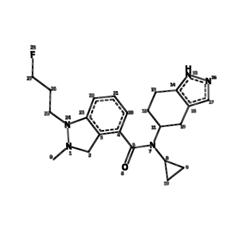 CN1Cc2c(C(=O)N(C3CC3)C3CCc4[nH]ncc4C3)cccc2N1CCCF